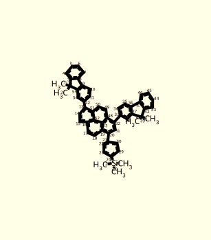 CC1(C)c2ccccc2-c2ccc(-c3ccc4ccc5c(-c6ccc([Si](C)(C)C)cc6)cc(-c6ccc7c(c6)C(C)(C)c6ccccc6-7)c6ccc3c4c56)cc21